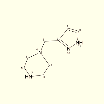 c1cc(CN2CCNCC2)n[nH]1